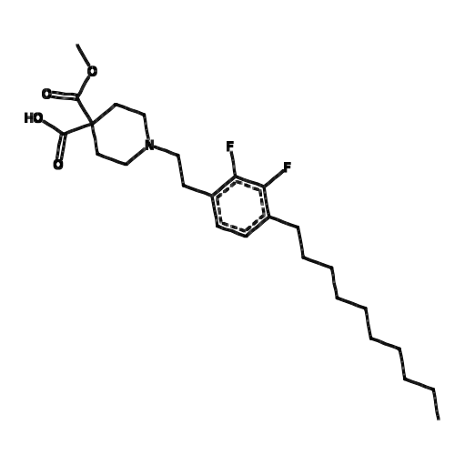 CCCCCCCCCCc1ccc(CCN2CCC(C(=O)O)(C(=O)OC)CC2)c(F)c1F